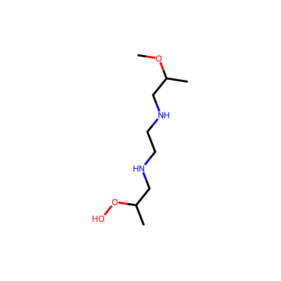 COC(C)CNCCNCC(C)OO